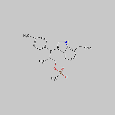 CSCc1cccc2c(C(c3ccc(C)cc3)C(C)COS(C)(=O)=O)c[nH]c12